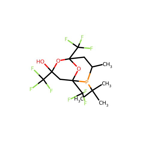 CC1CC2(C(F)(F)F)OC(O)(C(F)(F)F)CC(C(F)(F)F)(O2)P1C(C)(C)C